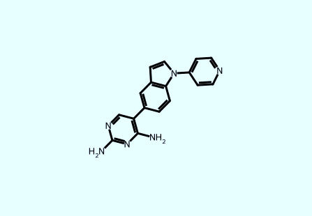 Nc1ncc(-c2ccc3c(ccn3-c3ccncc3)c2)c(N)n1